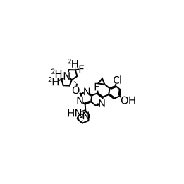 [2H]C1([2H])CC[C@]2(COc3nc(N4CC5CCC4CN5)c4cnc(-c5cc(O)cc(Cl)c5C5CC5)c(F)c4n3)C[C@]([2H])(F)CN12